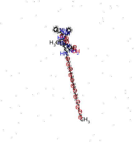 COCCOCCOCCOCCOCCOCCOCCOCCOCCOCCOCCOCCNCCCCC(NC(=O)C(CC(C)C)NC(=O)C(Cc1ccccc1)NC(=O)C(N)Cc1ccccc1)C(=O)N1CCC(N)(C(=O)O)CC1